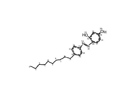 CCCCCCCCCCc1ccc(N=Nc2ccc(O)cc2O)cc1